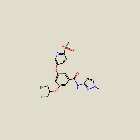 Cn1ccc(NC(=O)c2cc(Oc3ccc(S(C)(=O)=O)nc3)cc(OC(CF)CF)c2)n1